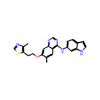 Cc1cc2c(Nc3ccc4cc[nH]c4c3)ncnc2cc1OCCc1scnc1C